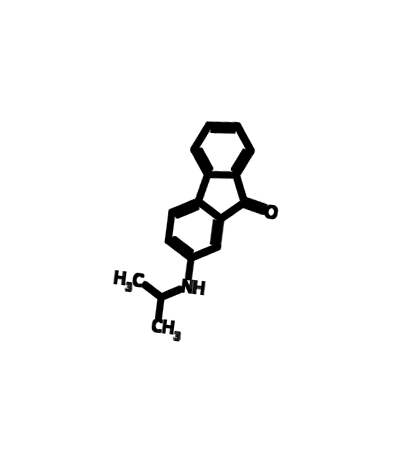 CC(C)Nc1ccc2c(c1)C(=O)c1ccccc1-2